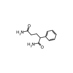 NC(=O)CCC(C(N)=O)c1ccccc1